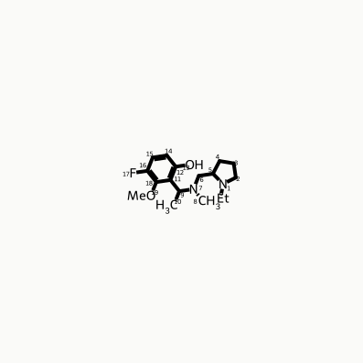 CCN1CCCC1CN(C)C(C)c1c(O)ccc(F)c1OC